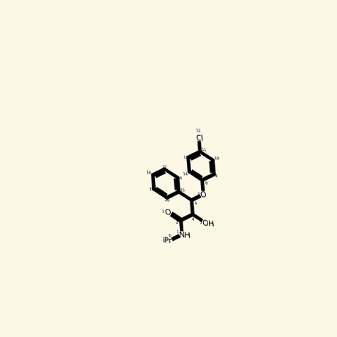 CC(C)NC(=O)C(O)C(Oc1ccc(Cl)cc1)c1ccccc1